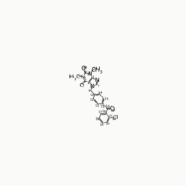 Cn1c(=O)c2c(ncn2Cc2ccc(C(=O)c3ccccc3Cl)cc2)n(C)c1=O